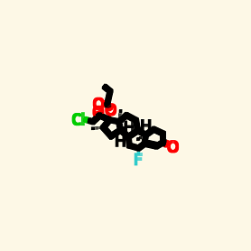 CCC(=O)O[C@@]1(C(=O)CCl)[C@@H](C)C[C@H]2[C@@H]3C[C@@H](F)C4=CC(=O)CC[C@]4(C)[C@H]3CC[C@@]21C